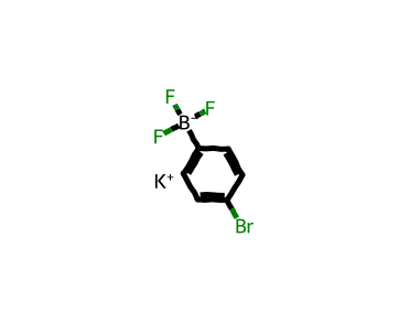 F[B-](F)(F)c1ccc(Br)cc1.[K+]